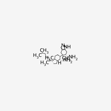 CC(C)CCC[C@@H](C)[C@H]1CC[C@@H]2[C@@H](CN)[C@H]([C@@]3(C)Cc4cn[nH]c4C[C@@H]3CN)CC[C@@]21C